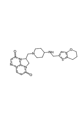 O=c1ccc2ncc(=O)n3c2n1CC3CN1CCC(NCc2cc3c(s2)CCCO3)CC1